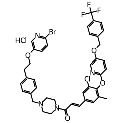 Cc1cc(/C=C/C(=O)N2CCN(Cc3ccc(CCOc4ccc(Br)nc4)cc3)CC2)cc(Cl)c1Oc1ccc(OCc2ccc(C(F)(F)F)cc2)cn1.Cl